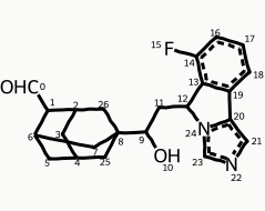 O=CC1C2CC3CC1CC(C(O)CC1c4c(F)cccc4-c4cncn41)(C3)C2